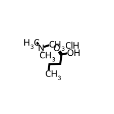 CCCC(=O)O.CN(C)C.Cl